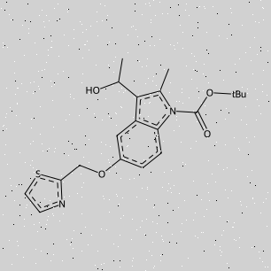 Cc1c(C(C)O)c2cc(OCc3nccs3)ccc2n1C(=O)OC(C)(C)C